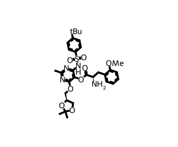 COc1ccccc1C[C@H](N)C(=O)Oc1c(NS(=O)(=O)c2ccc(C(C)(C)C)cc2)nc(C)nc1OC[C@H]1COC(C)(C)O1